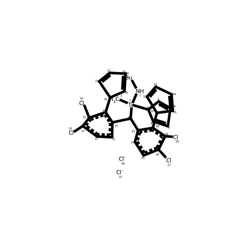 CC(C)(C)[NH][Ti]([CH3])([CH]1C=CC=C1)[CH](c1ccc(Cl)c(Cl)c1C1C=CC=C1)c1ccc(Cl)c(Cl)c1C1C=CC=C1.[Cl-].[Cl-]